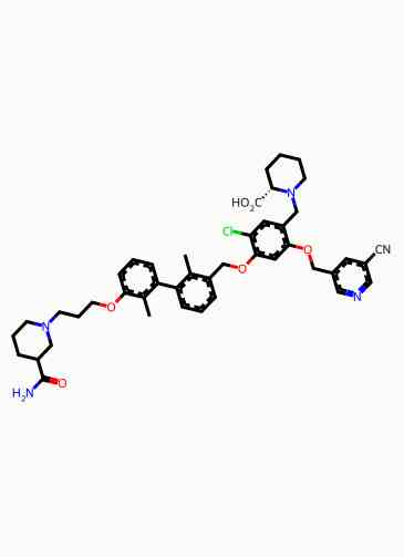 Cc1c(COc2cc(OCc3cncc(C#N)c3)c(CN3CCCC[C@H]3C(=O)O)cc2Cl)cccc1-c1cccc(OCCCN2CCCC(C(N)=O)C2)c1C